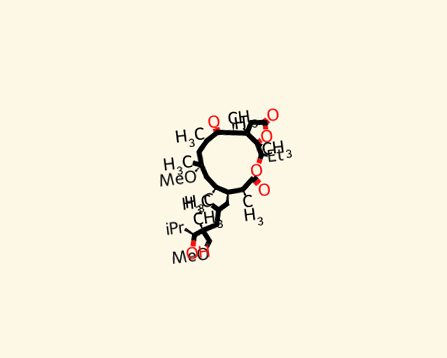 CC[C@H]1OC(=O)[C@H](C)[C@@H](CC(C)C[C@@](C)(COC)[C@@H](O)C(C)C)[C@H](C)C[C@](C)(OC)C[C@@H](C)C(=O)[C@H](C)[C@H]2CC(=O)O[C@@]21C